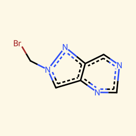 BrCn1cc2ncncc2n1